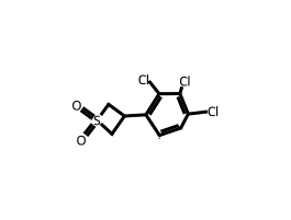 O=S1(=O)CC(c2[c]cc(Cl)c(Cl)c2Cl)C1